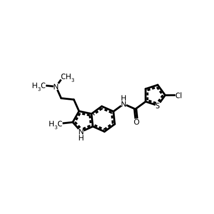 Cc1[nH]c2ccc(NC(=O)c3ccc(Cl)s3)cc2c1CCN(C)C